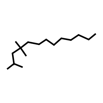 CCCCCCCCCC(C)(C)C[C](C)C